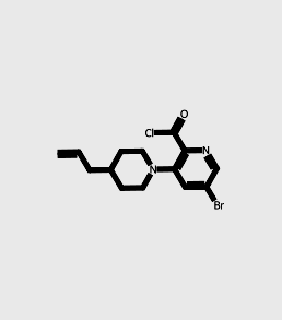 C=CCC1CCN(c2cc(Br)cnc2C(=O)Cl)CC1